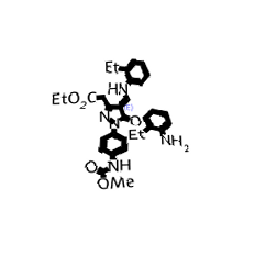 CCOC(=O)CC1=NN(c2ccc(NC(=O)OC)cc2)C(=O)/C1=C/Nc1ccccc1CC.CCc1ccccc1N